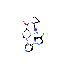 N#CC1CCCN1C(=O)C1CCN(c2cnccc2-n2cc(Cl)cn2)CC1